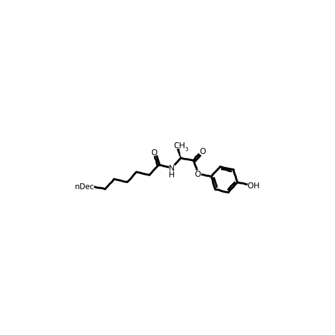 CCCCCCCCCCCCCCCC(=O)N[C@@H](C)C(=O)Oc1ccc(O)cc1